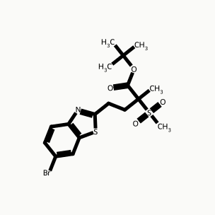 CC(C)(C)OC(=O)C(C)(CCc1nc2ccc(Br)cc2s1)S(C)(=O)=O